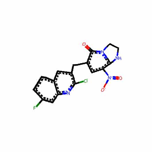 O=c1c(Cc2cc3ccc(F)cc3nc2Cl)cc([N+](=O)[O-])c2n1CCN2